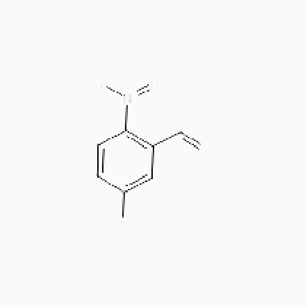 O=Cc1cc(S)ccc1[N+](=O)[O-]